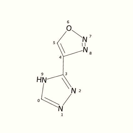 c1nnc(-c2conn2)[nH]1